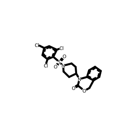 O=C1OCc2ccccc2N1C1CCN(S(=O)(=O)c2c(Cl)cc(Cl)cc2Cl)CC1